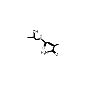 CC(=CC(=O)NCC(C)O)C(N)=O